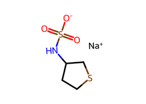 O=S(=O)([O-])NC1CCSC1.[Na+]